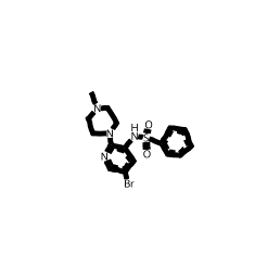 CN1CCN(c2ncc(Br)cc2NS(=O)(=O)c2ccccc2)CC1